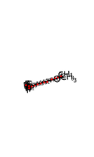 CC(C)CCOCCCCCCCCCCCCCCCCC(F)(C(F)(F)F)C(F)(F)F